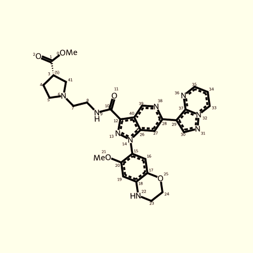 COC(=O)[C@H]1CCN(CCNC(=O)c2nn(-c3cc4c(cc3OC)NCCO4)c3cc(-c4cnn5cccnc45)ncc23)C1